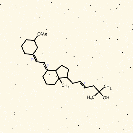 COC1CCC/C(=C/C=C2\CCCC3(C)C(C/C=C/CC(C)(C)O)CCC23)C1